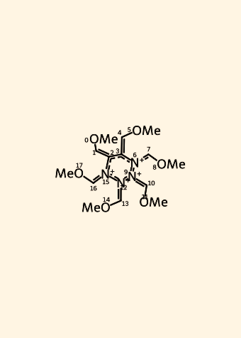 COC=c1c(=COC)[n+](=COC)[n+](=COC)[n+](=COC)[n+]1=COC